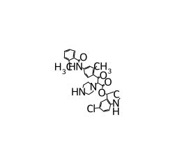 Cc1ccccc1C(=O)Nc1ccc(C(=O)C(C(=O)OC2CCCNc3ccc(Cl)cc32)N2CCNCC2)c(C)c1